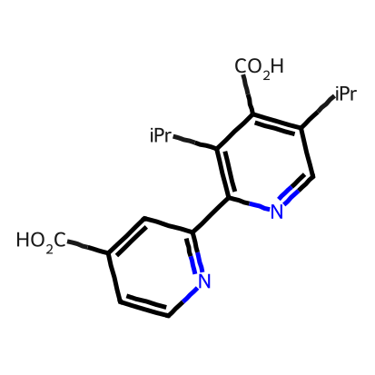 CC(C)c1cnc(-c2cc(C(=O)O)ccn2)c(C(C)C)c1C(=O)O